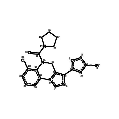 CC(C)c1noc(-c2ncn3c2CN(C(=O)N2CCCC2)c2c(Cl)cccc2-3)n1